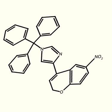 O=[N+]([O-])c1ccc2c(c1)C(c1cn(C(c3ccccc3)(c3ccccc3)c3ccccc3)cn1)=CCO2